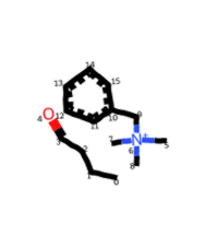 CCCC=O.C[N+](C)(C)Cc1ccccc1